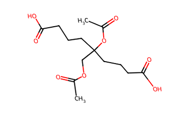 CC(=O)OCC(CCCC(=O)O)(CCCC(=O)O)OC(C)=O